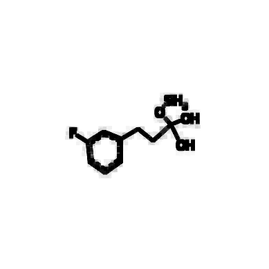 OC(O)(CCc1cccc(F)c1)O[SiH3]